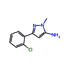 Cn1nc(-c2ccccc2Cl)cc1N